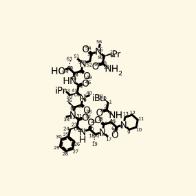 CC[C@H](C)CC(=O)N[C@H](C(=O)N1CCCCC1)C(=O)N(C)[C@H](C)C(=O)N[C@@H](Cc1ccccc1)C(=O)N(C)[C@@H](C)C(=O)N(C)[C@@H](CC(C)C)C(=O)N[C@H](C(=O)N(C)CC(=O)N(C)[C@H](C(N)=O)C(C)C)[C@@H](C)O